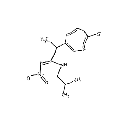 CC(C)CN/C(=C\[N+](=O)[O-])C(C)c1ccc(Cl)nc1